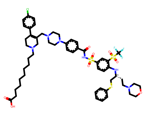 O=C(O)CCCCCCCCCN1CCC(c2ccc(Cl)cc2)=C(CN2CCN(c3ccc(C(=O)NS(=O)(=O)c4ccc(N[C@H](CCN5CCOCC5)CSc5ccccc5)c(S(=O)(=O)C(F)(F)F)c4)cc3)CC2)C1